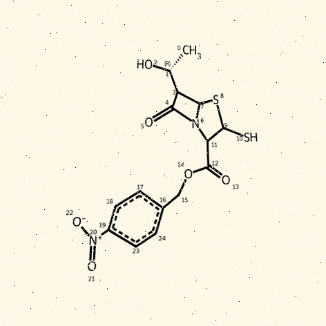 C[C@@H](O)C1C(=O)N2C1SC(S)C2C(=O)OCc1ccc([N+](=O)[O-])cc1